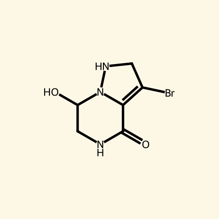 O=C1NCC(O)N2NCC(Br)=C12